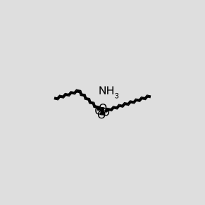 CCCCCCCC/C=C\CCCCCCCCOS(=O)(=O)OCCCCCCCCCCCCCCCC.N